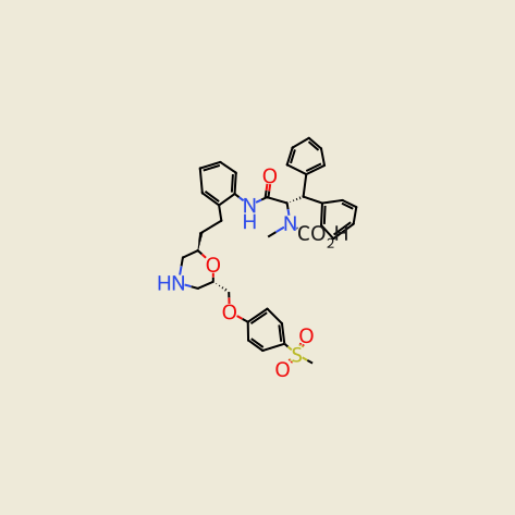 CN(C(=O)O)[C@H](C(=O)Nc1ccccc1CC[C@@H]1CNC[C@@H](COc2ccc(S(C)(=O)=O)cc2)O1)C(c1ccccc1)c1ccccc1